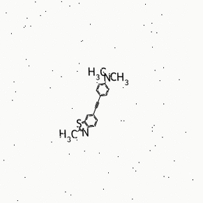 Cc1nc2ccc(C#Cc3ccc(N(C)C)cc3)cc2s1